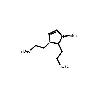 CCCCCCCCCCCCC1N(CCCC)C=CN1CCCCCCCCCCCC